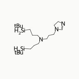 CC(C)(C)[SiH2]CCCN(CCC[SiH2]C(C)(C)C)CCCN1C=NCC1